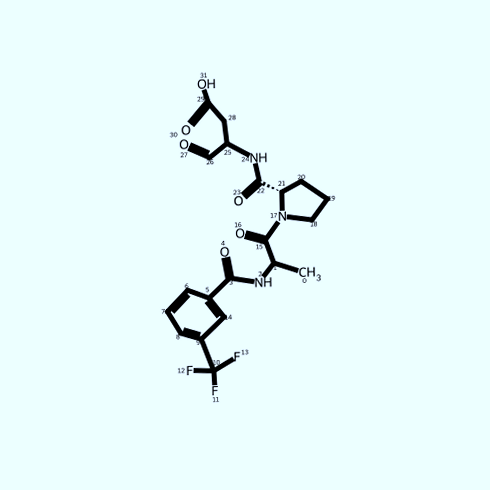 CC(NC(=O)c1cccc(C(F)(F)F)c1)C(=O)N1CCC[C@H]1C(=O)NC(C=O)CC(=O)O